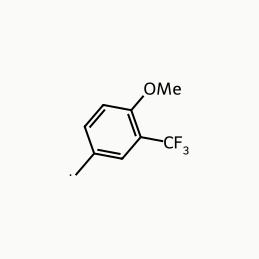 [CH2]c1ccc(OC)c(C(F)(F)F)c1